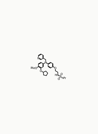 CCCS(=O)(=O)NCCOc1ccc(N(Cc2cccnc2)c2ccc(OC)c(OC3CCCC3)c2)cc1